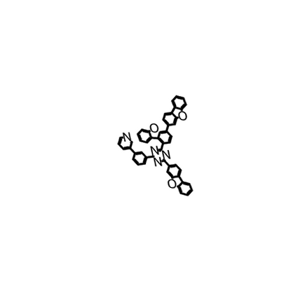 c1cncc(-c2cccc(-c3nc(-c4ccc5c(c4)oc4ccccc45)nc(-c4ccc(-c5ccc6c(c5)oc5ccccc56)c5oc6ccccc6c45)n3)c2)c1